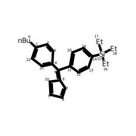 CCCCc1ccc(C(=C2[C]=CC=C2)c2ccc([Si](CC)(CC)CC)cc2)cc1